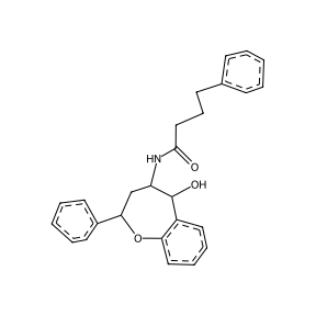 O=C(CCCc1ccccc1)NC1CC(c2ccccc2)Oc2ccccc2C1O